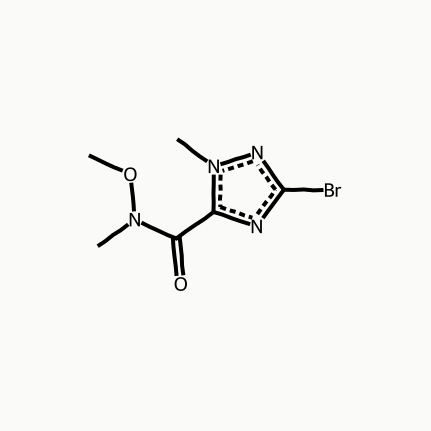 CON(C)C(=O)c1nc(Br)nn1C